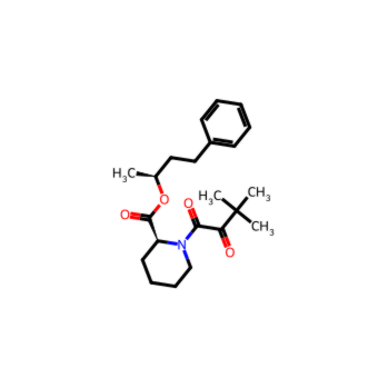 C[C@@H](CCc1ccccc1)OC(=O)[C@@H]1CCCCN1C(=O)C(=O)C(C)(C)C